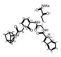 CNC(=O)C(=O)CC[C@H](NC(=O)c1cc2ccccc2[nH]1)C(=O)Nc1cccn(CC(=O)NC2C3CC4CC(C3)C2C4)c1=O